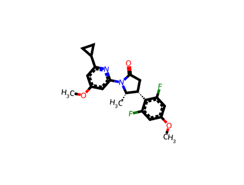 COc1cc(C2CC2)nc(N2C(=O)C[C@H](c3c(F)cc(OC)cc3F)[C@@H]2C)c1